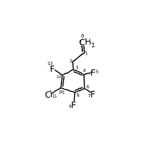 C=CCc1c(F)c(F)c(F)c(Cl)c1F